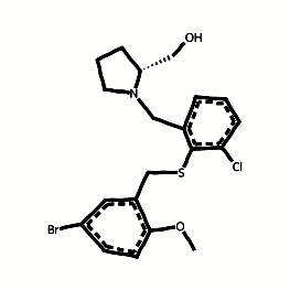 COc1ccc(Br)cc1CSc1c(Cl)cccc1CN1CCC[C@@H]1CO